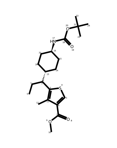 CCC(c1scc(C(=O)OC)c1C)[C@H]1CC[C@H](NC(=O)OC(C)(C)C)CC1